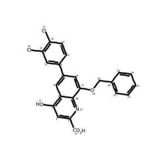 O=C(O)c1cc(O)c2cc(-c3ccc(Cl)c(Cl)c3)cc(OCc3ccccc3)c2n1